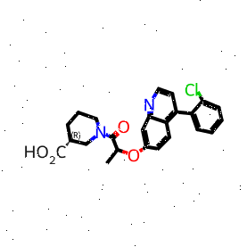 CC(Oc1ccc2c(-c3ccccc3Cl)ccnc2c1)C(=O)N1CCC[C@@H](C(=O)O)C1